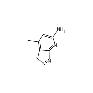 Cc1cc(N)nc2nnsc12